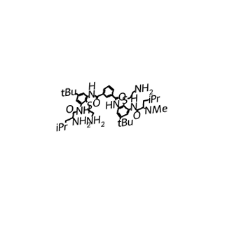 CN[C@H](CC(C)C)C(=O)Nc1cc(C(C)(C)C)cc(NC(=O)c2cccc(C(=O)Nc3cc(C(C)(C)C)cc(NC(=O)[C@H](N)CC(C)C)c3SCCN)c2)c1SCCN